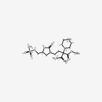 CC(C)(C)OC(=O)C(CCN1CC(COS(C)(=O)=O)OC1=O)(C(=N)N)N1CCNCC1